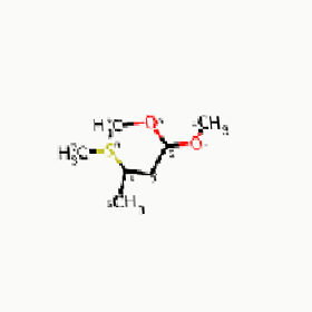 COC([CH]C(C)SC)OC